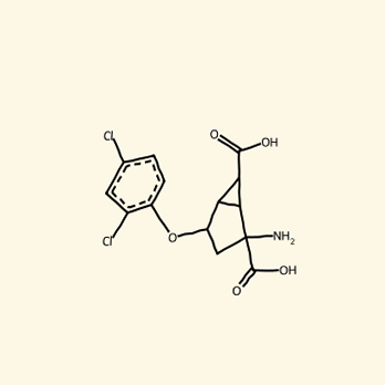 NC1(C(=O)O)CC(Oc2ccc(Cl)cc2Cl)C2C(C(=O)O)C21